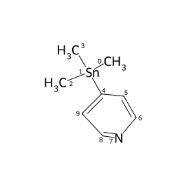 [CH3][Sn]([CH3])([CH3])[c]1ccncc1